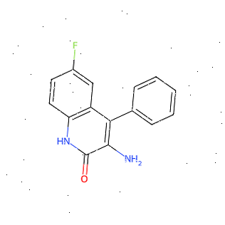 Nc1c(-c2ccccc2)c2cc(F)ccc2[nH]c1=O